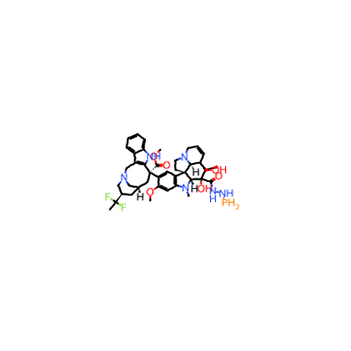 CC[C@]12C=CCN3CC[C@@]4(c5cc([C@@]6(C(=O)OC)C[C@@H]7C[C@@H](C(C)(F)F)CN(Cc8c6[nH]c6ccccc86)C7)c(OC)cc5N(C)[C@H]4[C@@](O)(C(=O)NNP)[C@@H]1O)[C@@H]32